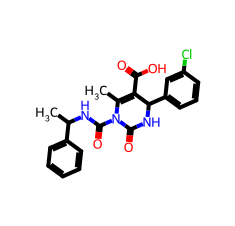 CC1=C(C(=O)O)C(c2cccc(Cl)c2)NC(=O)N1C(=O)NC(C)c1ccccc1